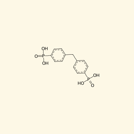 O=P(O)(O)c1ccc(Cc2ccc(P(=O)(O)O)cc2)cc1